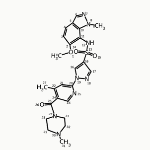 COc1ccc2cnn(C)c2c1NS(=O)(=O)c1cnn(-c2cc(C)c(C(=O)N3CCN(C)CC3)cn2)c1